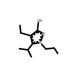 CCCn1nc(O)c(CC)c1C(C)C